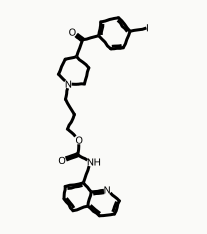 O=C(Nc1cccc2cccnc12)OCCCN1CCC(C(=O)c2ccc(I)cc2)CC1